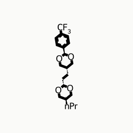 CCC[C@H]1CO[C@H](CC[C@H]2CO[C@H](c3ccc(C(F)(F)F)cc3)OC2)OC1